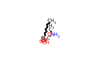 CCCCCCCCOS(=O)(=O)O.CCOCC.N